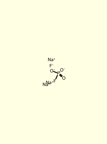 O=P([O-])([O-])F.[F-].[Na+].[Na+].[Na+]